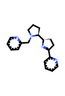 c1ccc(CN2CCC[C@H]2[C@@H]2CCC(c3ccccn3)=N2)nc1